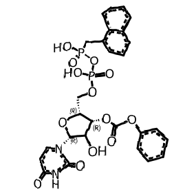 O=C(Oc1ccccc1)O[C@@H]1C(O)[C@H](n2ccc(=O)[nH]c2=O)O[C@@H]1COP(=O)(O)OP(=O)(O)Cc1cccc2ccccc12